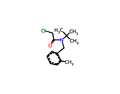 Cc1ccccc1CN(C(=O)CCl)C(C)(C)C